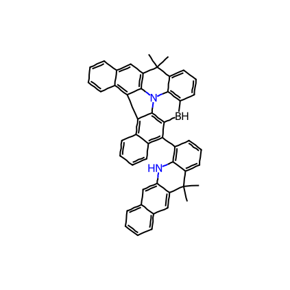 CC1(C)c2cc3ccccc3cc2Nc2c(-c3c4c5c(c6ccccc36)c3c6ccccc6cc6c3n5-c3c(cccc3C6(C)C)B4)cccc21